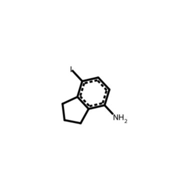 Nc1ccc(I)c2c1CCC2